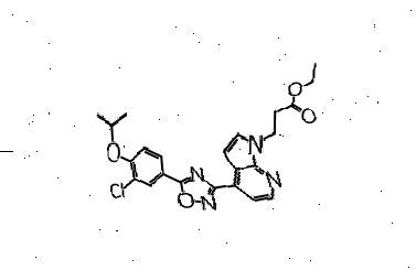 CCOC(=O)CCn1ccc2c(-c3noc(-c4ccc(OC(C)C)c(Cl)c4)n3)ccnc21